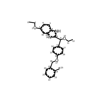 CCOc1ccc2[nH]c(C(OCC)c3ccc(OCc4ccccc4F)cc3)nc2c1